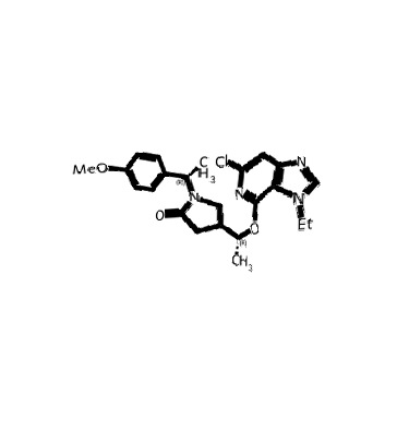 CCn1cnc2cc(Cl)nc(O[C@H](C)C3CC(=O)N([C@H](C)c4ccc(OC)cc4)C3)c21